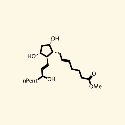 CCCCCC(O)C=C[C@@H]1[C@@H](CC=CCCCC(=O)OC)[C@@H](O)C[C@H]1O